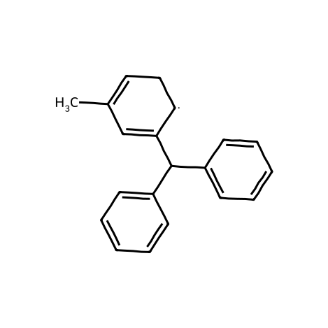 CC1=CC[CH]C(C(c2ccccc2)c2ccccc2)=C1